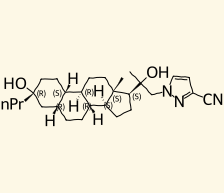 CCC[C@@]1(O)CC[C@H]2[C@H](CC[C@@H]3[C@@H]2CC[C@]2(C)[C@@H](C(C)(O)Cn4ccc(C#N)n4)CC[C@@H]32)C1